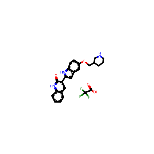 O=C(O)C(F)(F)F.O=c1[nH]c2ccccc2cc1-c1cc2cc(OCC3CCCNC3)ccc2[nH]1